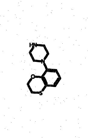 c1cc2c(c(N3CCNCC3)c1)OCCS2